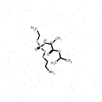 CCOP(=O)(N[C@@H](C)C(=O)OC(C)C)SSCCN